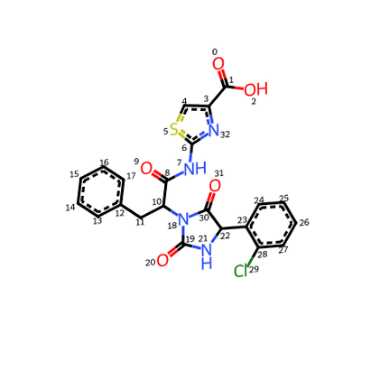 O=C(O)c1csc(NC(=O)C(Cc2ccccc2)N2C(=O)NC(c3ccccc3Cl)C2=O)n1